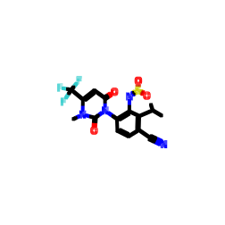 CC(C)c1c(C#N)ccc(-n2c(=O)cc(C(F)(F)F)n(C)c2=O)c1N=S(=O)=O